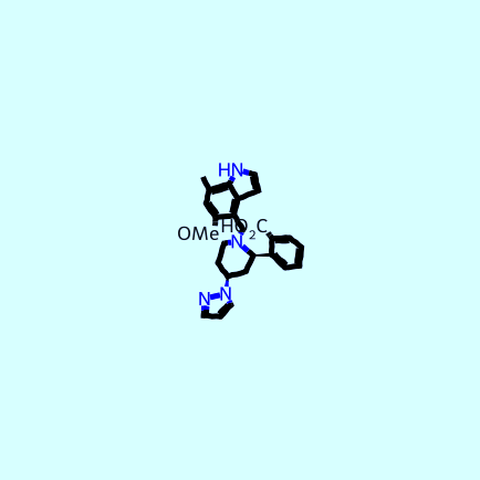 COc1cc(C)c2[nH]ccc2c1CN1CC[C@H](n2cccn2)C[C@@H]1c1ccccc1C(=O)O